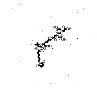 CC(C)[C@H](NC(=O)CCCCCN1C(=O)C=CC1=O)C(=O)N[C@@H](CCCCNC(=O)CN(CCN(CC(=O)O)CC(=O)O)CC(=O)O)C(N)=O